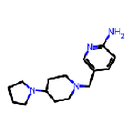 Nc1ccc(CN2CCC(N3CCCC3)CC2)cn1